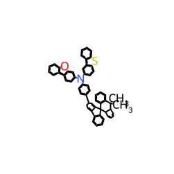 CC1(C)c2ccccc2C2(C3=CC(c4ccc(N(c5ccc6c(c5)oc5ccccc56)c5ccc6sc7ccccc7c6c5)cc4)CC=C3c3ccccc32)C2C=CC=CC21